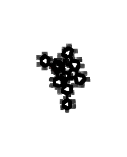 c1ccc(-c2ccc(-c3nc(-c4ccccc4)c4c5c(ccc6c7ccccc7n(-c7nc(-c8ccccc8)nc(-c8ccccc8)n7)c65)c5ccccc5n34)cc2)cc1